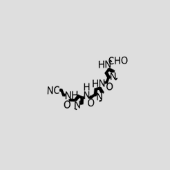 Cn1cc(NC(=O)c2cc(NC(=O)c3cc(NC=O)cn3C)cn2C)cc1C(=O)NCCC#N